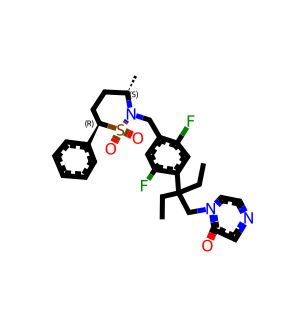 CCC(CC)(Cn1ccncc1=O)c1cc(F)c(CN2[C@@H](C)CC[C@H](c3ccccc3)S2(=O)=O)cc1F